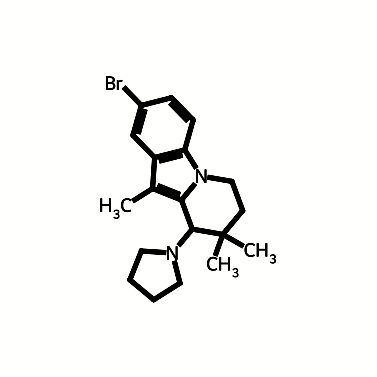 Cc1c2n(c3ccc(Br)cc13)CCC(C)(C)C2N1CCCC1